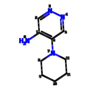 Nc1cnncc1N1CCCCC1